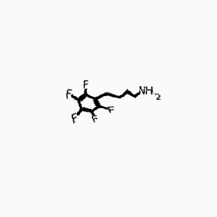 NCCCCc1c(F)c(F)c(F)c(F)c1F